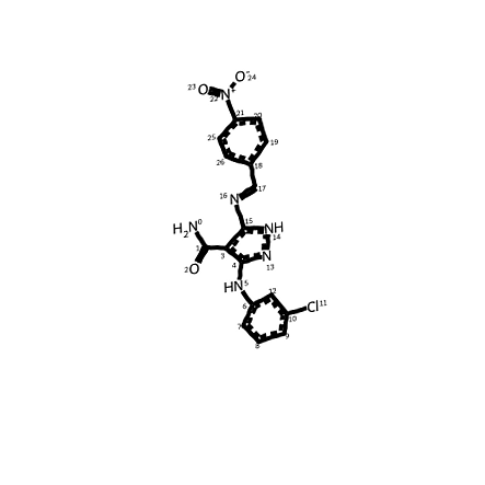 NC(=O)c1c(Nc2cccc(Cl)c2)n[nH]c1N=Cc1ccc([N+](=O)[O-])cc1